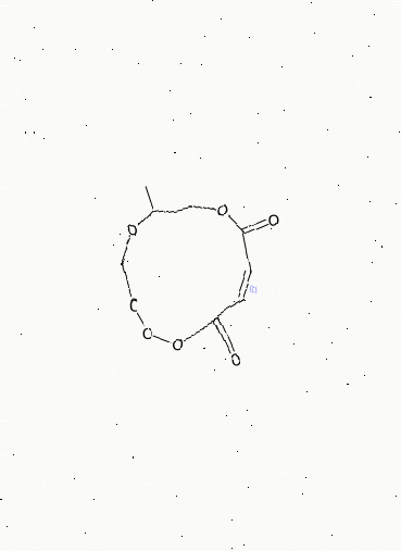 CC1COC(=O)/C=C\C(=O)OOCCO1